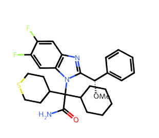 CO[C@@H](c1ccccc1)c1nc2cc(F)c(F)cc2n1C(C(N)=O)(C1CCCCC1)C1CCSCC1